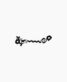 CC(C)c1cccc(C(C)C)c1NC(=O)CSCCCCCCCCN1CCN(c2ccccc2)CC1